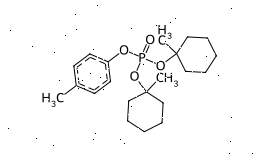 Cc1ccc(OP(=O)(OC2(C)CCCCC2)OC2(C)CCCCC2)cc1